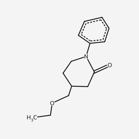 CCOCC1CCN(c2ccccc2)C(=O)C1